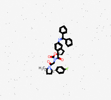 C[C@H]1CC[C@@H](c2ccc(F)cc2)N1C(=O)CN1C(=O)O[C@@]2(CCc3cc(N=C(c4ccccc4)c4ccccc4)ccc32)C1=O